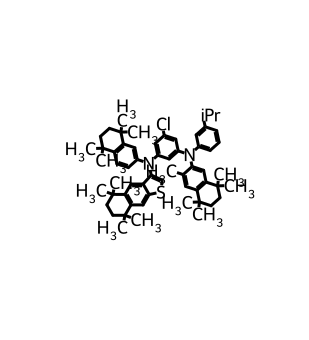 Cc1cc2c(cc1N(c1cccc(C(C)C)c1)c1cc(Cl)cc(N(c3ccc4c(c3)C(C)(C)CCC4(C)C)c3csc4cc5c(cc34)C(C)(C)CCC5(C)C)c1)C(C)(C)CCC2(C)C